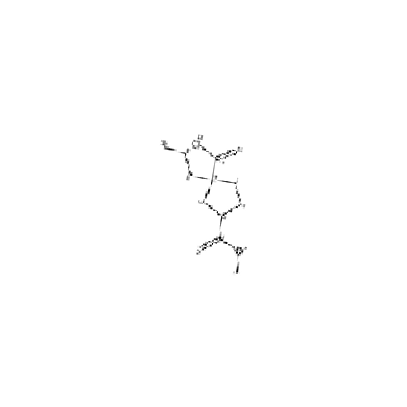 C=C(OC)C1CCC(CCC)(C(=C)Cl)C1